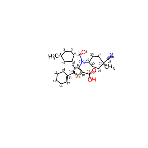 C[C@H]1CC[C@H](C(=O)N(c2cc(C3=CCCCC3)sc2C(=O)O)[C@H]2CC[C@](C)(C#N)CC2)CC1